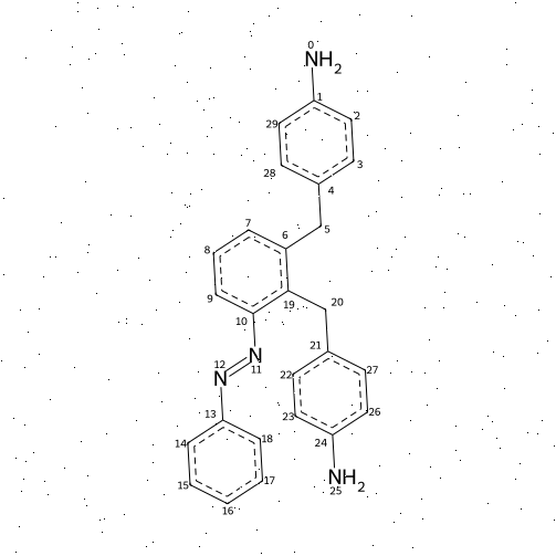 Nc1ccc(Cc2cccc(N=Nc3ccccc3)c2Cc2ccc(N)cc2)cc1